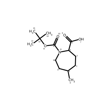 CC1CCC(C(=O)O)N(C(=O)OC(C)(C)C)CC1